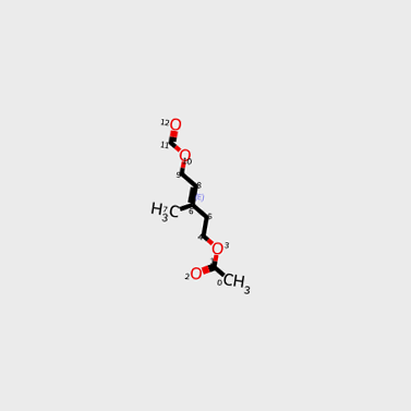 CC(=O)OCC/C(C)=C/COC=O